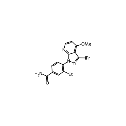 CCc1cc(C(N)=O)ccc1-n1nc(C(C)C)c2c(OC)ccnc21